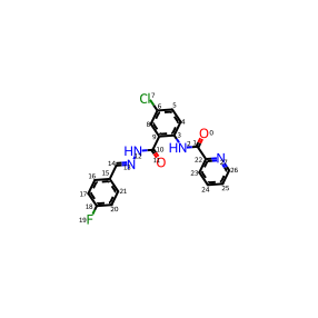 O=C(Nc1ccc(Cl)cc1C(=O)N/N=C/c1ccc(F)cc1)c1ccccn1